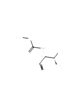 COC(=O)N[C@@H]([C]=O)[C@H](C)O